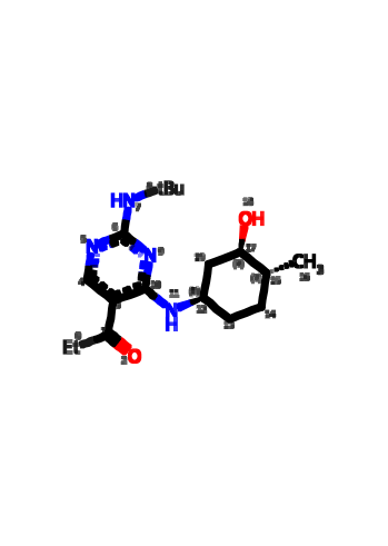 CCC(=O)c1cnc(NC(C)(C)C)nc1N[C@@H]1CC[C@@H](C)[C@H](O)C1